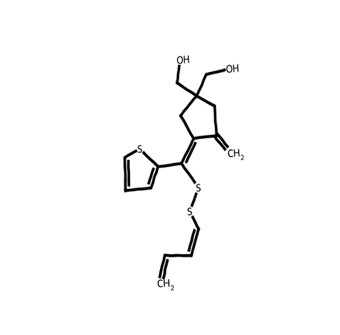 C=C/C=C\SS/C(=C1/CC(CO)(CO)CC1=C)c1cccs1